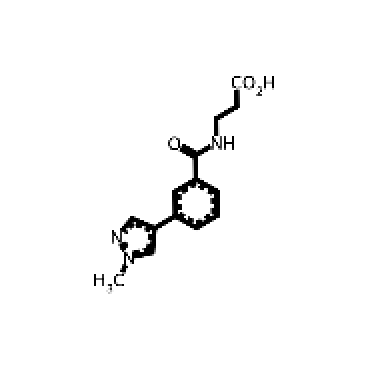 Cn1cc(-c2cccc(C(=O)NCCC(=O)O)c2)cn1